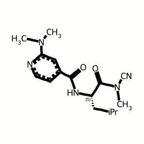 CC(C)C[C@H](NC(=O)c1ccnc(N(C)C)c1)C(=O)N(C)C#N